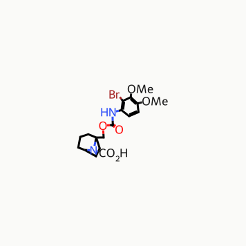 COc1ccc(NC(=O)OCC23CCCC(CC2)N3C(=O)O)c(Br)c1OC